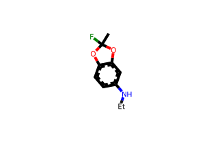 CCNc1ccc2c(c1)OC(C)(F)O2